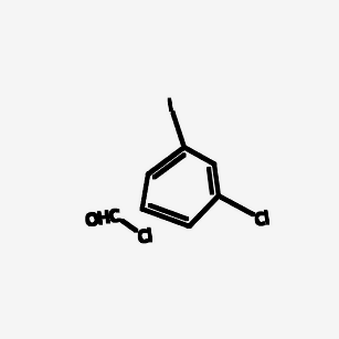 Clc1cccc(I)c1.O=CCl